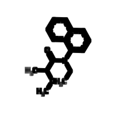 CCN(C(=O)C(C)OC)c1cccc2ccccc12